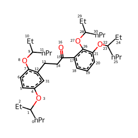 CCCC(CC)Oc1ccc(OC(CC)CCC)c(CCC(=O)c2cccc(OC(CC)CCC)c2OC(CC)CCC)c1